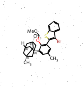 COCOc1c(-c2sc3ccccc3c2Br)cc(C)cc1[C@@]12C[C@@H]3C[C@@](C)(C[C@@](C)(C3)C1)C2